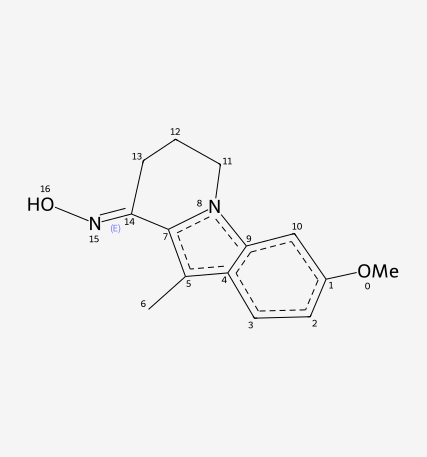 COc1ccc2c(C)c3n(c2c1)CCC/C3=N\O